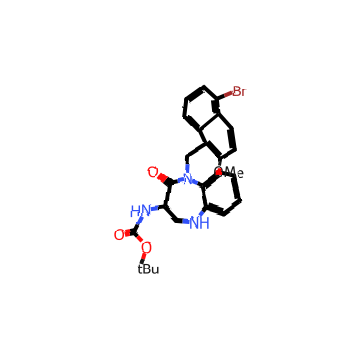 COc1ccc2c(Br)cccc2c1CN1C(=O)C(NC(=O)OC(C)(C)C)CNc2ccccc21